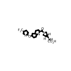 O=C(O)NC1[C@H]2CN(C(=O)c3ccc4cc(Oc5ccc(C(F)(F)F)cn5)ccc4n3)C[C@@H]12